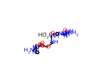 CCCCc1nc2c(N)nc3ccccc3c2n1CC(C)(C)OC(=O)OCCC(C)(C)OCCC(C)(C)NCCCC(NC(=O)c1ccc(NCc2cnc3nc(N)[nH]c(=O)c3n2)cc1)C(=O)O